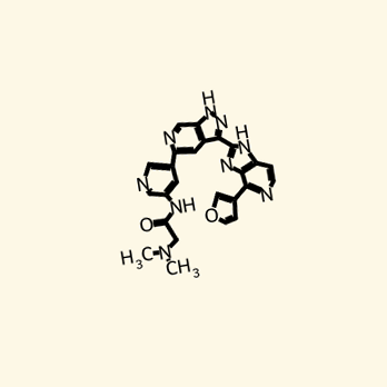 CN(C)CC(=O)Nc1cncc(-c2cc3c(-c4nc5c(-c6ccoc6)nccc5[nH]4)n[nH]c3cn2)c1